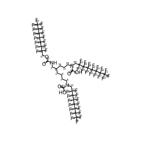 O=C(NCC(CCCCN(CC(F)(F)C(F)(F)C(F)(F)C(F)(F)C(F)(F)C(F)(F)C(F)(F)F)C(=O)O)CCCN(CC(F)(F)C(F)(F)C(F)(F)C(F)(F)C(F)(F)C(F)(F)C(F)(F)F)C(=O)O)OCC(F)(F)C(F)(F)C(F)(F)C(F)(F)C(F)(F)C(F)(F)C(F)(F)F